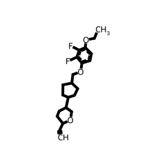 C#CC1CCC(C2CCC(COc3ccc(OCC)c(F)c3F)CC2)CO1